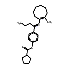 CCC/C(=N\C1=C(/C)CCCCCC1)c1ccc(OC(=O)C2CCCC2)cc1